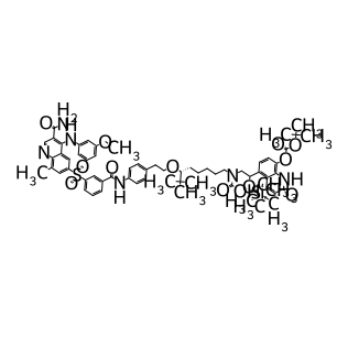 COc1cccc(Nc2c(C(N)=O)cnc3c(C)cc(S(=O)(=O)c4cccc(C(=O)Nc5ccc(CCO[C@H](CCCCCN(CC(O[Si](C)(C)C(C)(C)C)c6ccc(OC(=O)OC(C)(C)C)c7[nH]c(=O)ccc67)C(=O)O)C(C)(C)C)cc5)c4)cc23)c1